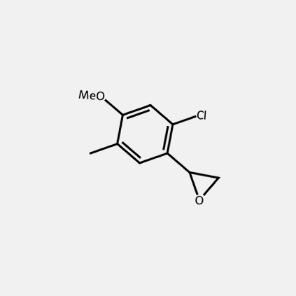 COc1cc(Cl)c(C2CO2)cc1C